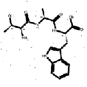 C[C@H](NC(=O)[C@@H](N)[C@@H](C)O)C(=O)N[C@@H](Cc1c[nH]c2ccccc12)C(=O)O